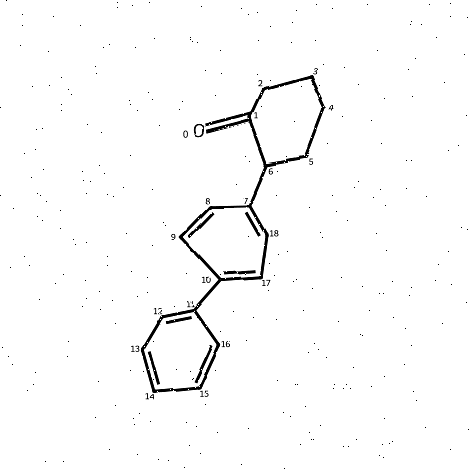 O=C1CCCCC1c1ccc(-c2ccccc2)cc1